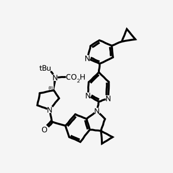 CC(C)(C)N(C(=O)O)[C@@H]1CCN(C(=O)c2ccc3c(c2)N(c2ncc(-c4cc(C5CC5)ccn4)cn2)CC32CC2)C1